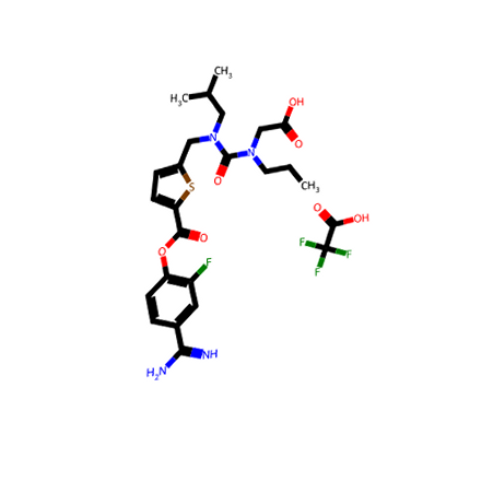 CCCN(CC(=O)O)C(=O)N(Cc1ccc(C(=O)Oc2ccc(C(=N)N)cc2F)s1)CC(C)C.O=C(O)C(F)(F)F